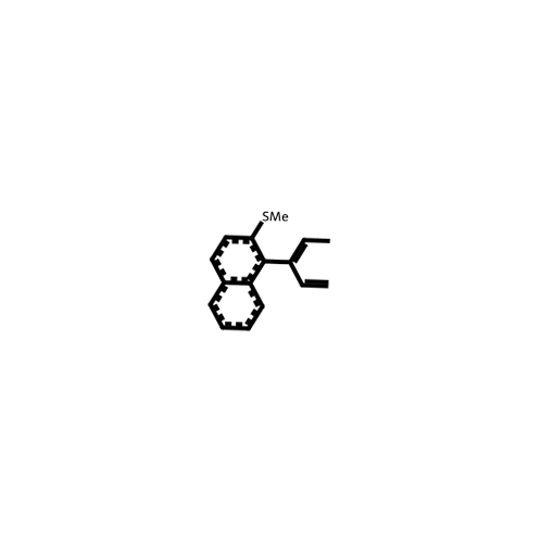 C=C/C(=C\C)c1c(SC)ccc2ccccc12